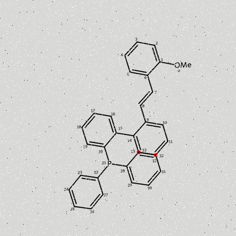 COc1ccccc1C=Cc1ccccc1-c1ccccc1P(c1ccccc1)c1ccccc1